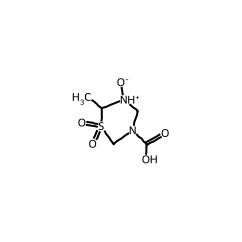 CC1[NH+]([O-])CN(C(=O)O)CS1(=O)=O